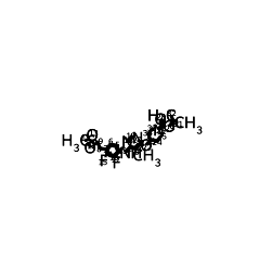 Cc1c(Nc2ccc(CCS(C)(=O)=O)c(F)c2F)ncnc1OC1CCN(C(=O)OC(C)C)CC1